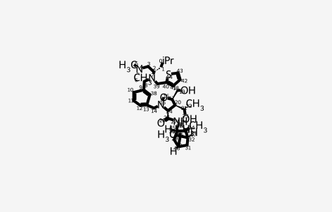 CC(C)C[C@@H](CN(C)C)N(Cc1cccc(CN2O[C@@H](CO)[C@@H]([C@H](C)O)[C@H]2C(=O)N[C@H]2C[C@H]3C[C@@H]([C@@H]2C)C3(C)C)c1)Cc1cccs1